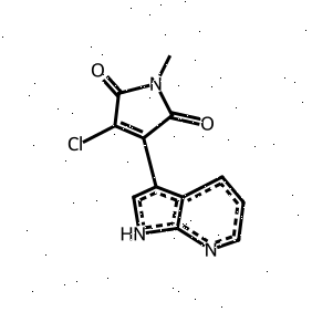 CN1C(=O)C(Cl)=C(c2c[nH]c3ncccc23)C1=O